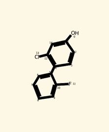 Oc1ccc(-c2ccccc2F)c(Cl)c1